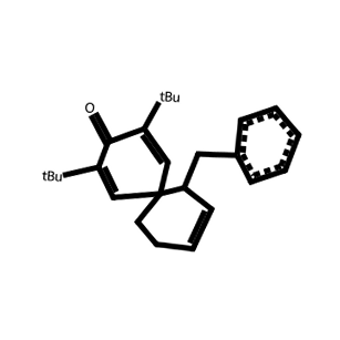 CC(C)(C)C1=CC2(C=C(C(C)(C)C)C1=O)CCC=CC2Cc1ccccc1